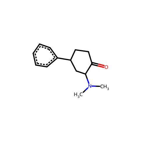 CN(C)C1CC(c2ccccc2)CCC1=O